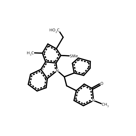 CSc1c(CC(=O)O)cc(C)c2c3ccccc3n(C(Cc3ccn(C)c(=O)c3)c3ccccc3)c12